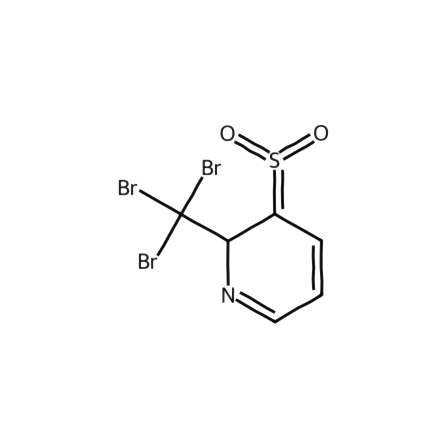 O=S(=O)=C1C=CC=NC1C(Br)(Br)Br